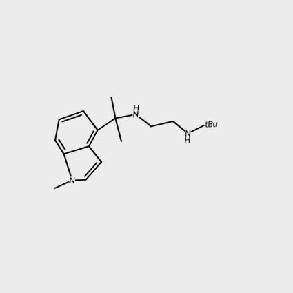 Cn1ccc2c(C(C)(C)NCCNC(C)(C)C)cccc21